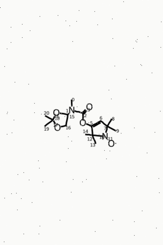 CN(C(=O)OC1=CC(C)(C)N([O])C1(C)C)C1COC(C)(C)O1